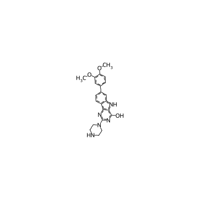 COc1ccc(-c2ccc3c(c2)[nH]c2c(O)nc(N4CCNCC4)nc23)cc1OC